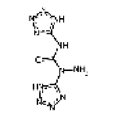 NN(C(=O)Nc1nnn[nH]1)c1nnn[nH]1